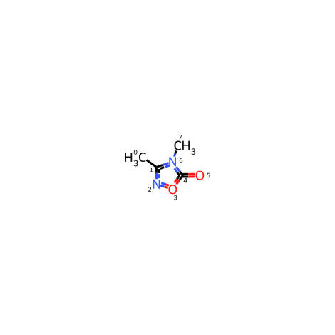 Cc1noc(=O)n1C